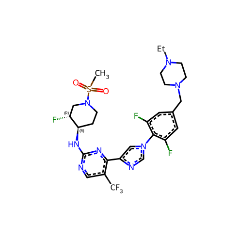 CCN1CCN(Cc2cc(F)c(-n3cnc(-c4nc(N[C@@H]5CCN(S(C)(=O)=O)C[C@H]5F)ncc4C(F)(F)F)c3)c(F)c2)CC1